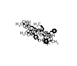 CC#CCC(NC(=O)[C@@H](Cc1ccccc1)NC(=O)[C@@H](Cc1ccccc1)NC(=O)OC(C)(C)C)C(=O)N[C@H](CC(CCNC(=O)OC(C)(C)C)NC(=O)OC(C)(C)C)C(=O)OC(=O)C1CCN(C)CC1